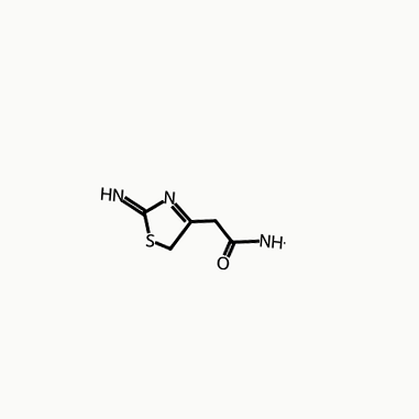 [NH]C(=O)CC1=NC(=N)SC1